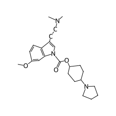 COc1ccc2c(CCN(C)C)cn(C(=O)OC3CCC(N4CCCC4)CC3)c2c1